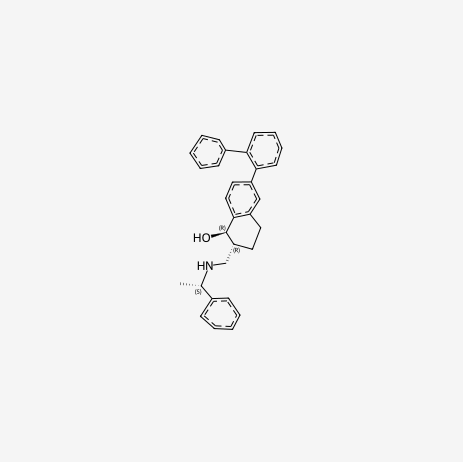 C[C@H](NC[C@H]1CCc2cc(-c3ccccc3-c3ccccc3)ccc2[C@@H]1O)c1ccccc1